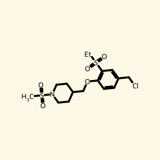 CCS(=O)(=O)c1cc(CCl)ccc1OCC1CCN(S(C)(=O)=O)CC1